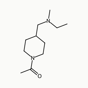 CCN(C)CC1CCN(C(C)=O)CC1